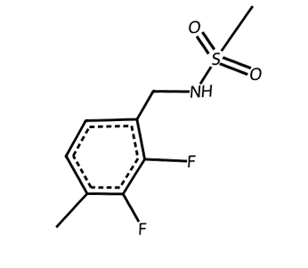 Cc1ccc(CNS(C)(=O)=O)c(F)c1F